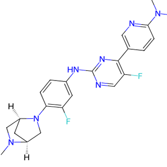 CN(C)c1ccc(-c2nc(Nc3ccc(N4C[C@@H]5C[C@H]4CN5C)c(F)c3)ncc2F)cn1